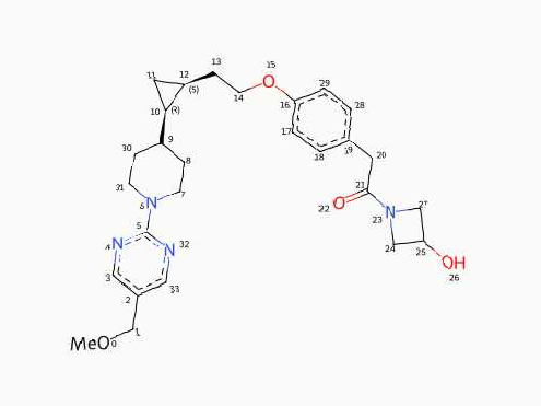 COCc1cnc(N2CCC([C@H]3C[C@H]3CCOc3ccc(CC(=O)N4CC(O)C4)cc3)CC2)nc1